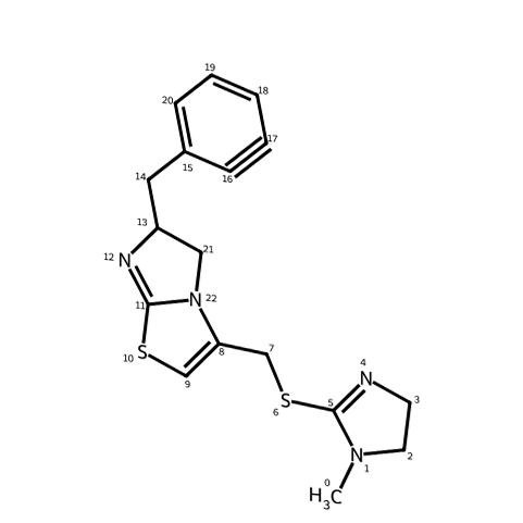 CN1CCN=C1SCC1=CSC2=NC(Cc3c#cccc3)CN12